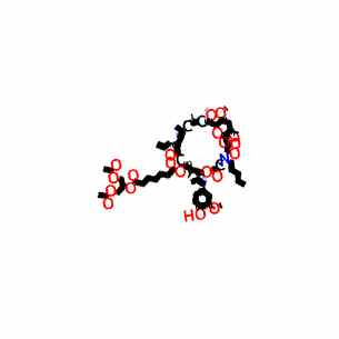 C=CC[C@@H]1/C=C(\C)C[C@H](C)C[C@H](OC)C2O[C@@](O)(C(=O)C(=O)N(CCCCC)CC(=O)O[C@H](/C(C)=C/[C@@H]3CC[C@@H](O)[C@H](OC)C3)[C@H](C)[C@@H](OC(=O)CCCCCC(=O)OC(COC(C)=O)COC(C)=O)CC1=O)[C@H](C)C[C@@H]2OC